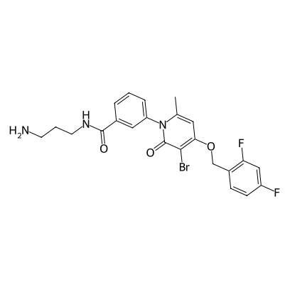 Cc1cc(OCc2ccc(F)cc2F)c(Br)c(=O)n1-c1cccc(C(=O)NCCCN)c1